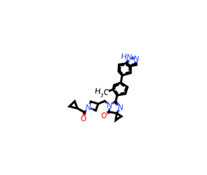 Cc1cc(-c2ccc3[nH]ncc3c2)ccc1C1=NC2(CC2)C(=O)N1CC1CN(C(=O)C2CC2)C1